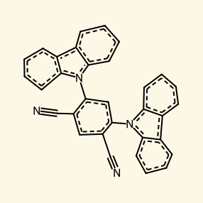 N#Cc1cc(C#N)c(-n2c3ccccc3c3ccccc32)cc1-n1c2ccccc2c2ccccc21